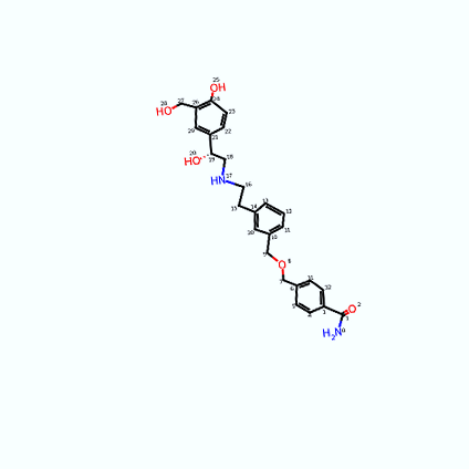 NC(=O)c1ccc(COCc2cccc(CCNC[C@H](O)c3ccc(O)c(CO)c3)c2)cc1